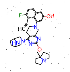 C#Cc1c(F)ccc2cc(O)cc(N3CCc4c(nc(OCC56CCCN5CCC6)nc4N4CC5CCC(C4)N5)C3)c12